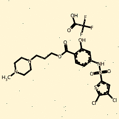 CN1CCN(CCCOC(=O)c2ccc(NS(=O)(=O)c3cc(Cl)c(Cl)s3)cc2O)CC1.O=C(O)C(F)(F)F